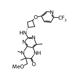 COCC1(C)C(=O)Nc2c(C)nc(N[C@H]3C[C@H](Oc4ccc(C(F)(F)F)nc4)C3)nc2N1C